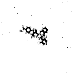 N#Cc1ccccc1CN(CC(=O)c1c(Cl)cncc1Cl)C(=O)c1cnn(C2CCC(C(=O)O)CC2)c1C(F)(F)F